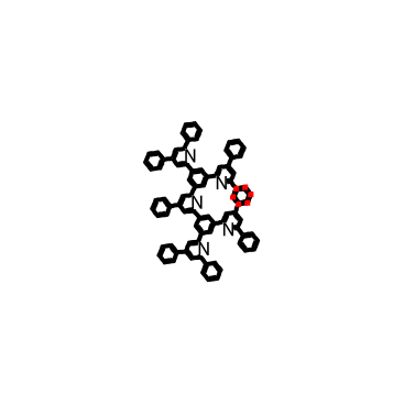 c1ccc(-c2cc(-c3ccccc3)nc(-c3cc(-c4cc(-c5ccccc5)cc(-c5ccccc5)n4)cc(-c4cc(-c5ccccc5)cc(-c5cc(-c6cc(-c7ccccc7)cc(-c7ccccc7)n6)cc(-c6cc(-c7ccccc7)cc(-c7ccccc7)n6)c5)n4)c3)c2)cc1